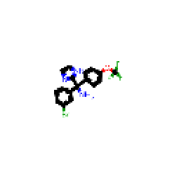 NC(c1ccc(OC(F)(F)F)cc1)(c1cccc(Br)c1)c1ncc[nH]1